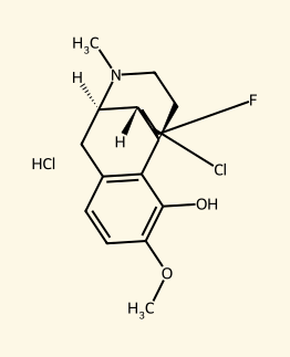 COc1ccc2c(c1O)[C@]13CCN(C)[C@H](C2)[C@@H]1CCC(F)C3Cl.Cl